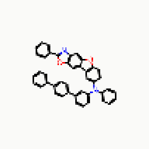 c1ccc(-c2ccc(-c3cccc(N(c4ccccc4)c4ccc5oc6cc7nc(-c8ccccc8)oc7cc6c5c4)c3)cc2)cc1